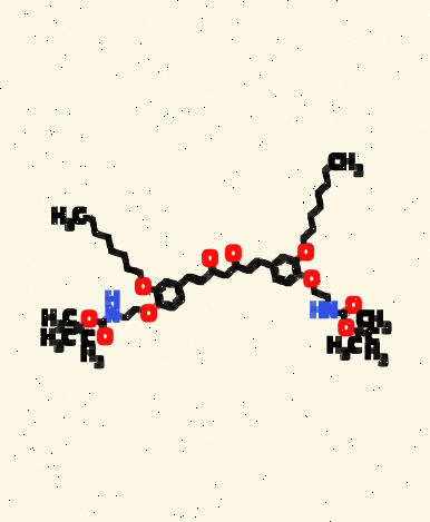 CCCCCCCCOc1cc(/C=C/C(=O)CC(=O)/C=C/c2ccc(OCCNC(=O)OC(C)(C)C)c(OCCCCCCCC)c2)ccc1OCCNC(=O)OC(C)(C)C